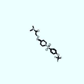 CN(C)C(=O)CON=C1CCN(S(=O)(=O)c2ccc(OC(F)(F)F)cc2)CC1